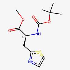 COC(=O)[C@H](Cc1nccs1)NC(=O)OC(C)(C)C